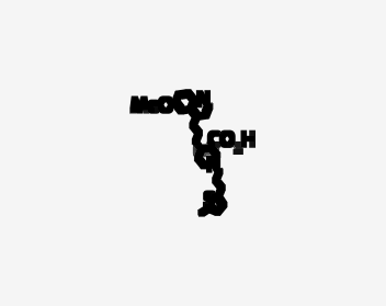 COc1ccc2nccc(CCC[C@@H]3CCN(CCCc4ccc(C)s4)C[C@@H]3C(=O)O)c2c1